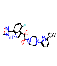 Cc1cccc(N2CCN(C(=O)C(=O)c3c[nH]c4c(-c5ncon5)ccc(F)c34)CC2)n1